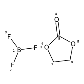 FB(F)F.O=C1OCCO1